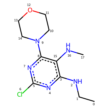 CCNc1nc(Cl)nc(N2CCOCC2)c1NC